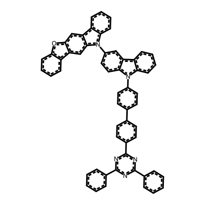 c1ccc(-c2nc(-c3ccccc3)nc(-c3ccc(-c4ccc(-n5c6ccccc6c6cc(-n7c8ccccc8c8cc9oc%10ccccc%10c9cc87)ccc65)cc4)cc3)n2)cc1